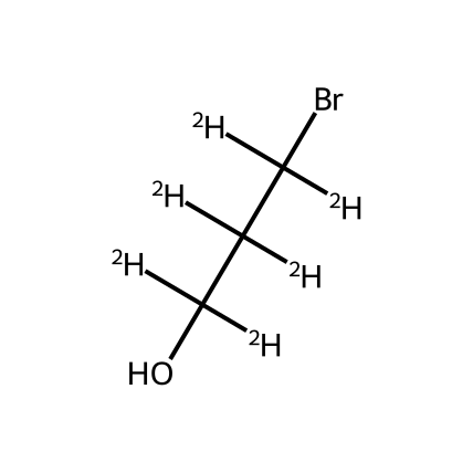 [2H]C([2H])(O)C([2H])([2H])C([2H])([2H])Br